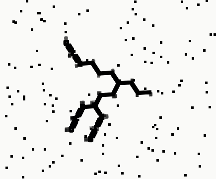 CCCC(CCCN=C=O)CCC(N=C=O)N=C=O